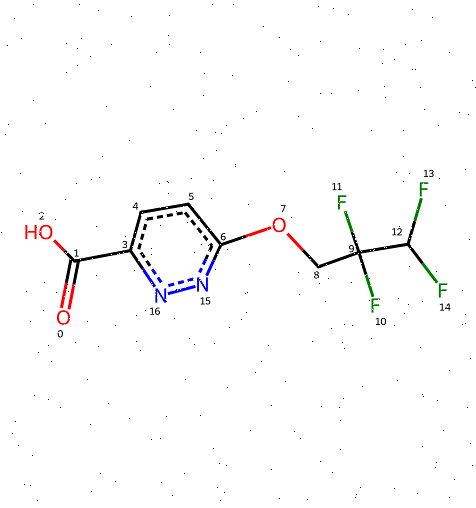 O=C(O)c1ccc(OCC(F)(F)C(F)F)nn1